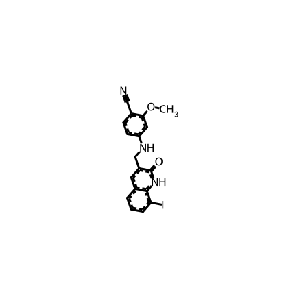 COc1cc(NCc2cc3cccc(I)c3[nH]c2=O)ccc1C#N